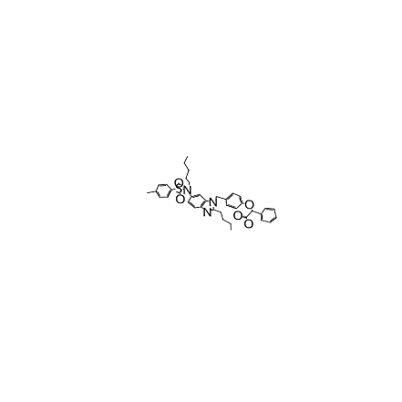 CCCCCN(c1ccc2nc(CCCC)n(Cc3ccc(OC(C(=O)OC)c4ccccc4)cc3)c2c1)S(=O)(=O)c1ccc(C)cc1